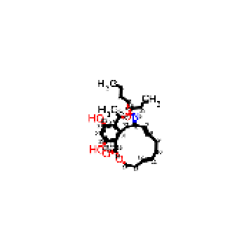 CCCCO/N=C1/C=C/CC/C=C/CCOC(=O)c2c(O)cc(O)c(C(C)OCCC)c2C1